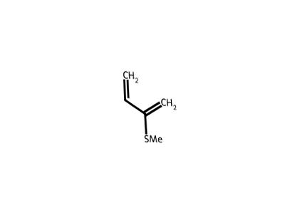 C=CC(=C)SC